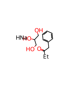 CCC(=O)Cc1ccccc1.OCC(O)CO.[NaH]